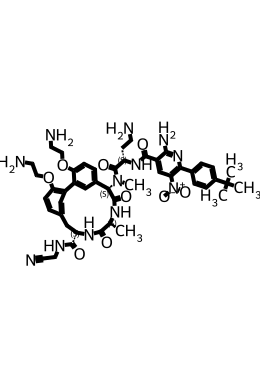 C[C@@H]1NC(=O)[C@@H](N(C)C(=O)[C@H](CCN)NC(=O)c2cc([N+](=O)[O-])c(-c3ccc(C(C)(C)C)cc3)nc2N)c2ccc(OCCN)c(c2)-c2cc(ccc2OCCN)C[C@@H](C(=O)NCC#N)NC1=O